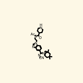 CC(=O)N(CCn1cnc2cc(C(=NC#N)N3CC4(C)CC3CC(C)(C)C4)ccc21)C(=O)C1CCNCC1